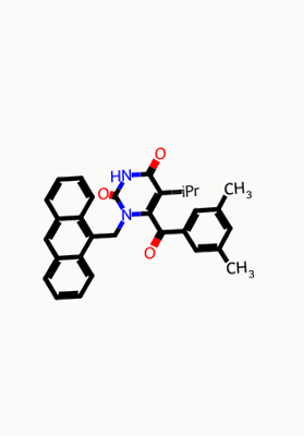 Cc1cc(C)cc(C(=O)c2c(C(C)C)c(=O)[nH]c(=O)n2Cc2c3ccccc3cc3ccccc23)c1